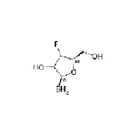 B[C@@H]1O[C@H](CO)C(F)C1O